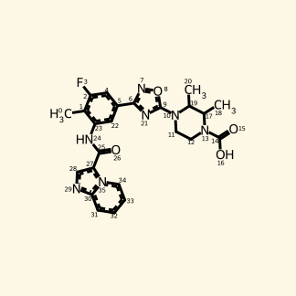 Cc1c(F)cc(-c2noc(N3CCN(C(=O)O)C(C)C3C)n2)cc1NC(=O)c1cnc2ccccn12